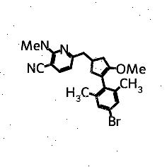 CNc1nc(CC2CC(OC)=C(c3c(C)cc(Br)cc3C)C2)ccc1C#N